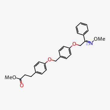 CO/N=C(/COc1ccc(COc2ccc(CCC(=O)OC)cc2)cc1)c1ccccc1